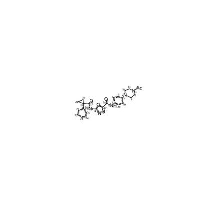 CC(=O)N1CCN(c2ccc(NC(=O)c3nnc(NC(=O)C4(c5ccccc5)CC4)o3)cc2)CC1